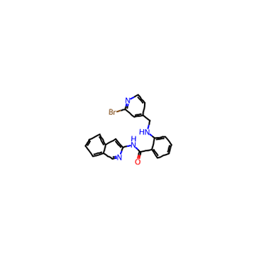 O=C(Nc1cc2ccccc2cn1)c1ccccc1NCc1ccnc(Br)c1